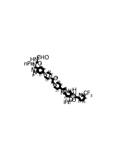 CCCN(C(=O)NC=O)c1nn(C)c2cc(N3CCN(C(=O)CN4CCC(c5cn6cc(NC(=O)c7cccc(C(F)(F)F)n7)c(OC(C)C)cc6n5)CC4)CC3)ccc12